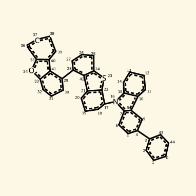 c1ccc(-c2ccc3c(c2)c2ccccc2n3-c2cccc3c2sc2cccc(-c4cccc5oc6ccccc6c45)c23)cc1